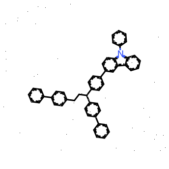 c1ccc(-c2ccc(CCC(c3ccc(-c4ccccc4)cc3)c3ccc(-c4ccc5c(c4)c4ccccc4n5-c4ccccc4)cc3)cc2)cc1